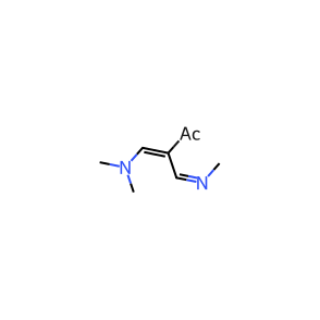 C/N=C\C(=C/N(C)C)C(C)=O